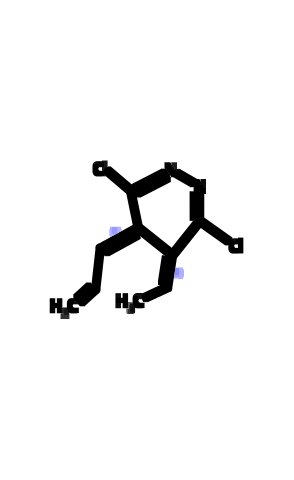 C=C/C=c1/c(Cl)nnc(Cl)/c1=C/C